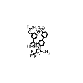 Cc1nc(C(F)(F)F)cn1-c1ccc(-c2cccc(S(C)(=O)=O)c2)cc1N1NNC=C1c1cccc(OC(F)F)c1